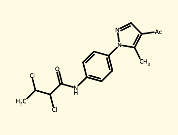 CC(=O)c1cnn(-c2ccc(NC(=O)C(Cl)C(C)Cl)cc2)c1C